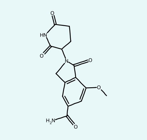 COc1cc(C(N)=O)cc2c1C(=O)N(C1CCC(=O)NC1=O)C2